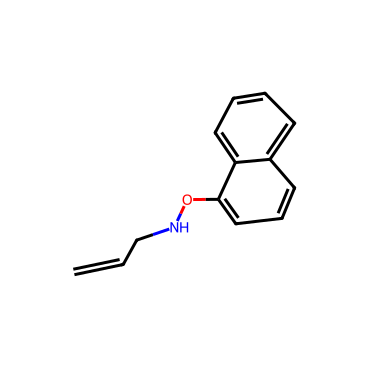 C=CCNOc1cccc2ccccc12